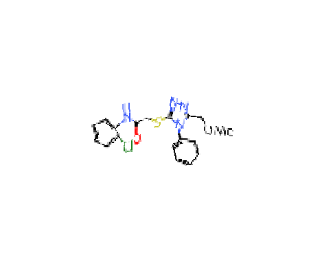 COCc1nnc(SCC(=O)Nc2ccccc2Cl)n1-c1ccccc1